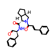 O=C[C@H](Cc1ccccc1)NC(=O)[C@@H]1[C@H]2CCC[C@H]2CN1C(=O)/C=C/c1ccccc1